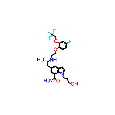 C[C@@H](Cc1cc(C(N)=O)c2c(ccn2CCCO)c1)NCCOc1ccc(F)cc1OCC(F)(F)F